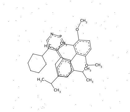 COc1ccc(OC)c(-c2c(C(C)C)cc(C(C)C)cc2C(C)C)c1-c1pncc(C2CCCCC2)c1C1CCCCC1